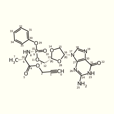 C#CCOC(=O)[C@H](C)N[P@](=O)(OC[C@@H]1OC[C@H](n2cnc3c(=O)[nH]c(N)nc32)O1)Oc1ccccc1